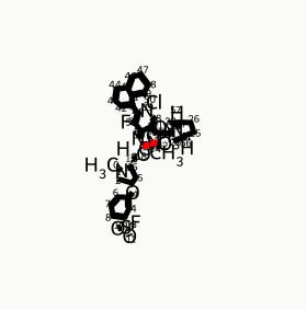 CN1C[C@H](Oc2cccc(S(=O)(=O)F)c2)C[C@H]1COc1nc(N2C[C@H]3CC[C@@H](C2)N3C(=O)OC(C)(C)C)c2cnc(-c3cccc4cccc(Cl)c34)c(F)c2n1